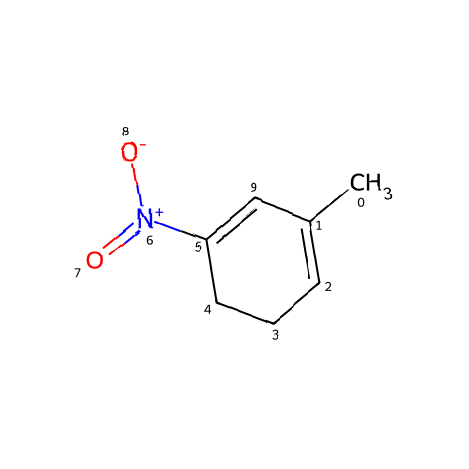 CC1=CCCC([N+](=O)[O-])=C1